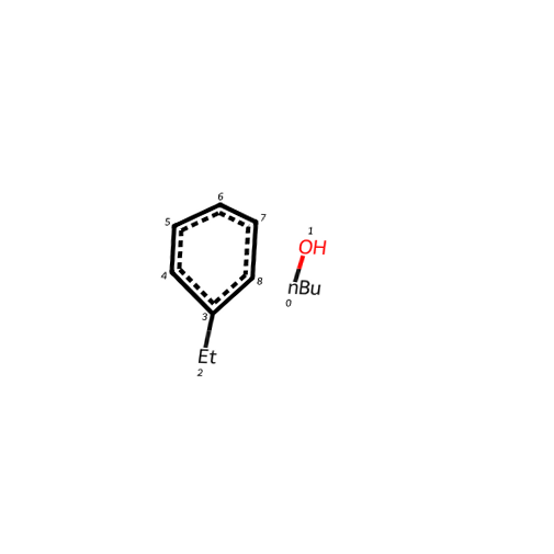 CCCCO.CCc1ccccc1